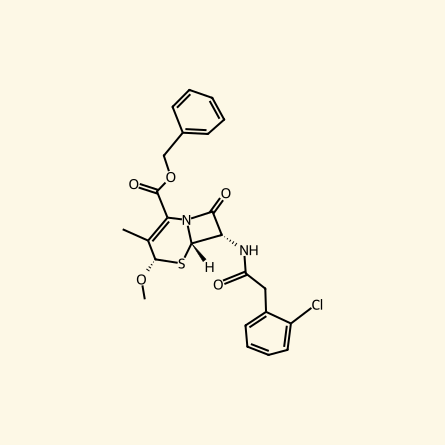 CO[C@H]1S[C@H]2[C@@H](NC(=O)Cc3ccccc3Cl)C(=O)N2C(C(=O)OCc2ccccc2)=C1C